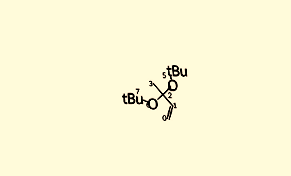 C=CC(C)(OC(C)(C)C)OC(C)(C)C